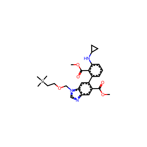 COC(=O)c1cc2ncn(COCC[Si](C)(C)C)c2cc1-c1cccc(NC2CC2)c1C(=O)OC